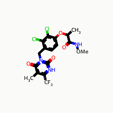 CONC(=O)C(C)Oc1ccc(Cn2c(=O)[nH]c(C(F)(F)F)c(C)c2=O)c(Cl)c1Cl